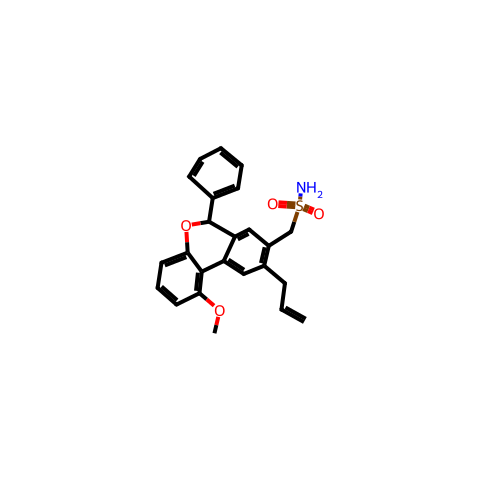 C=CCc1cc2c(cc1CS(N)(=O)=O)C(c1ccccc1)Oc1cccc(OC)c1-2